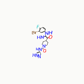 N=C(Nc1ccc(F)c(Br)c1)C(=O)C1CCN(C(=O)Nc2cn[nH]c2)CC1